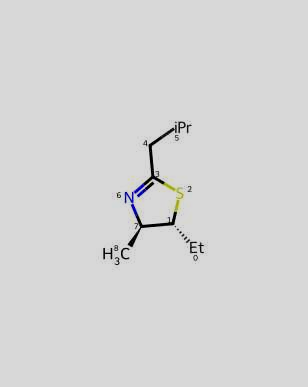 CC[C@H]1SC(CC(C)C)=N[C@@H]1C